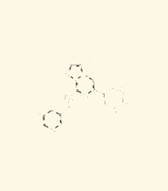 Bc1cnc2c(NCc3cccnc3)nc(C3CCCNC3)cn12